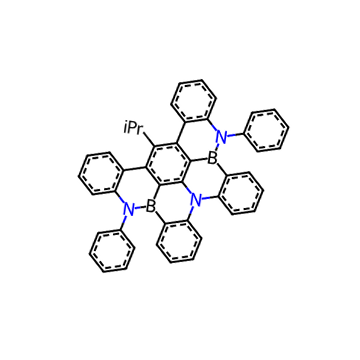 CC(C)c1c2c3c4c5c1-c1ccccc1N(c1ccccc1)B5c1ccccc1N4c1ccccc1B3N(c1ccccc1)c1ccccc1-2